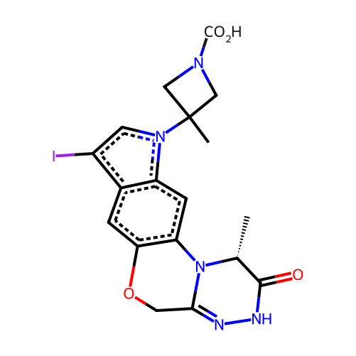 C[C@@H]1C(=O)NN=C2COc3cc4c(I)cn(C5(C)CN(C(=O)O)C5)c4cc3N21